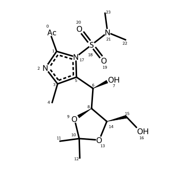 CC(=O)c1nc(C)c([C@@H](O)[C@@H]2OC(C)(C)O[C@@H]2CO)n1S(=O)(=O)N(C)C